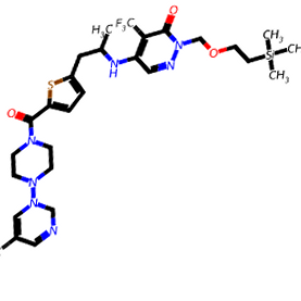 CC(Cc1ccc(C(=O)N2CCN(N3C=C(C(F)(F)F)C=NC3)CC2)s1)Nc1cnn(COCC[Si](C)(C)C)c(=O)c1C(F)(F)F